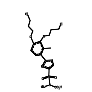 Cc1c(-c2ccc(S(=O)(=O)N(C(=O)O)C(C)(C)C)s2)ccc(OCCCCl)c1OCCCCl